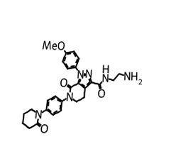 COc1ccc(-n2nc(C(=O)NCCN)c3c2C(=O)N(c2ccc(N4CCCCC4=O)cc2)CC3)cc1